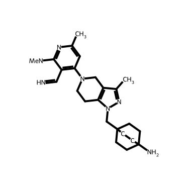 CNc1nc(C)cc(N2CCc3c(c(C)nn3CC34CCC(N)(CC3)CC4)C2)c1C=N